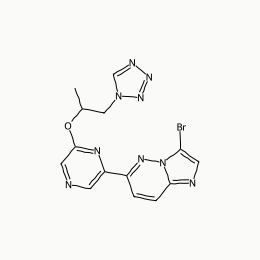 CC(Cn1cnnn1)Oc1cncc(-c2ccc3ncc(Br)n3n2)n1